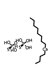 CCCCCCC[CH2][Ca][CH2]CCC.OP(O)(O)=S.OP(O)(O)=S